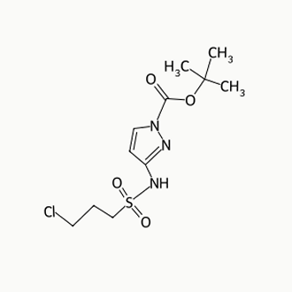 CC(C)(C)OC(=O)n1ccc(NS(=O)(=O)CCCCl)n1